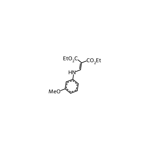 CCOC(=O)C(=CNc1cccc(OC)c1)C(=O)OCC